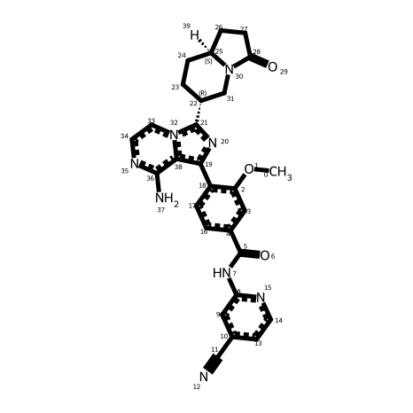 COc1cc(C(=O)Nc2cc(C#N)ccn2)ccc1-c1nc([C@@H]2CC[C@H]3CCC(=O)N3C2)n2ccnc(N)c12